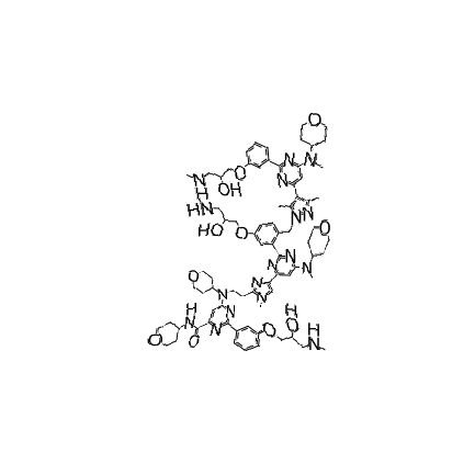 CNCC(O)COc1cccc(-c2nc(-c3c(C)nn(Cc4ccc(OCC(O)CNC)cc4-c4nc(-c5cn(C)c(CCN(c6cc(C(=O)NC7CCOCC7)nc(-c7cccc(OCC(O)CNC)c7)n6)C6CCOCC6)n5)cc(N(C)C5CCOCC5)n4)c3C)cc(N(C)C3CCOCC3)n2)c1